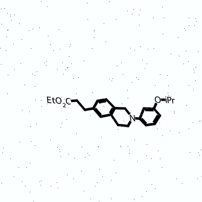 CCOC(=O)CCc1ccc2c(c1)CCN(c1cccc(OC(C)C)c1)C2